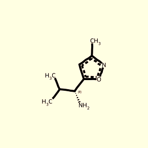 Cc1cc([C@H](N)C(C)C)on1